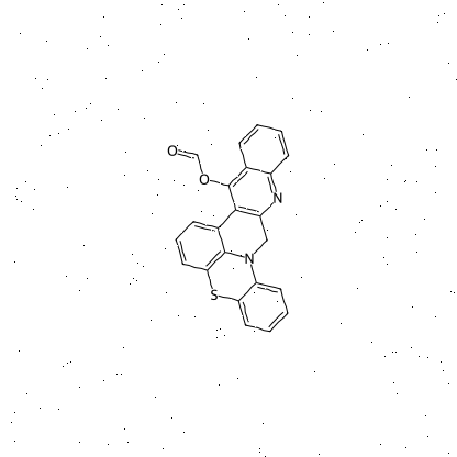 O=COc1c2c(nc3ccccc13)CN1c3ccccc3Sc3cccc-2c31